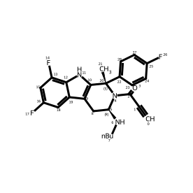 C#CC(=O)N1[C@@H](NCCCC)Cc2c([nH]c3c(F)cc(F)cc23)[C@]1(C)c1ccc(F)cc1